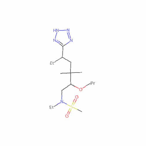 CCC(CC(C)(C)C(CN(CC)S(C)(=O)=O)OC(C)C)c1nn[nH]n1